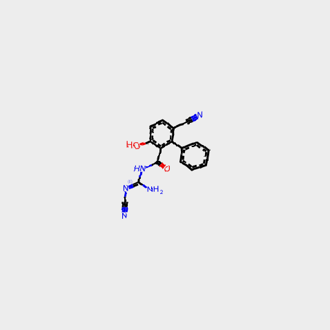 N#C/N=C(\N)NC(=O)c1c(O)ccc(C#N)c1-c1ccccc1